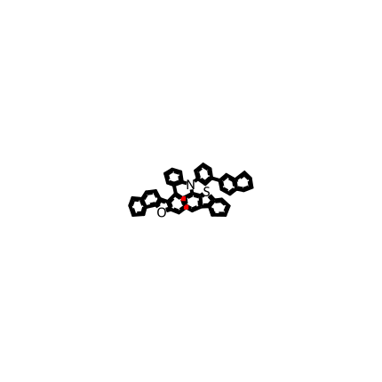 c1cc(-c2ccc3ccccc3c2)cc(N(c2ccccc2-c2cccc3oc4c5ccccc5ccc4c23)c2cccc3c2sc2ccccc23)c1